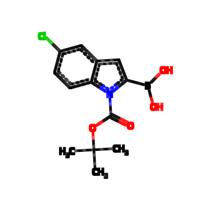 CC(C)(C)OC(=O)n1c(B(O)O)cc2cc(Cl)ccc21